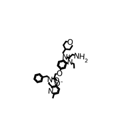 CCn1c(CN)[n+](CC2CCOCC2)c2ccc(OCC(=O)N(Cc3ccccc3)Cc3nc(C)ccc3[O-])cc21